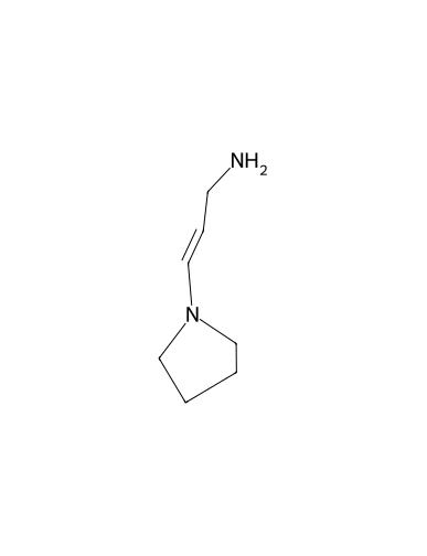 NCC=CN1CCCC1